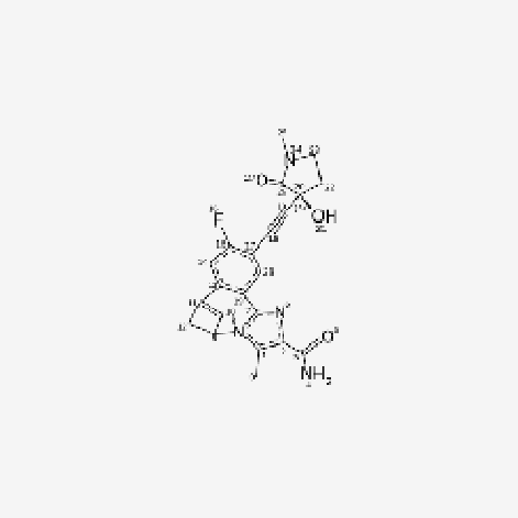 Cc1c(C(N)=O)nc2n1C1C=C(C1)c1cc(F)c(C#C[C@@]3(O)CCN(C)C3=O)cc1-2